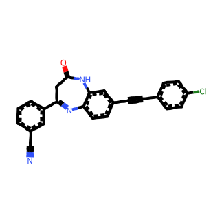 N#Cc1cccc(C2=Nc3ccc(C#Cc4ccc(Cl)cc4)cc3NC(=O)C2)c1